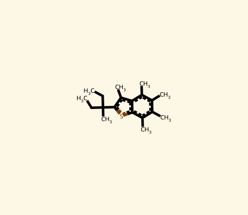 CCC(C)(CC)c1sc2c(C)c(C)c(C)c(C)c2c1C